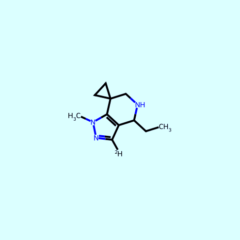 [2H]c1nn(C)c2c1C(CC)NCC21CC1